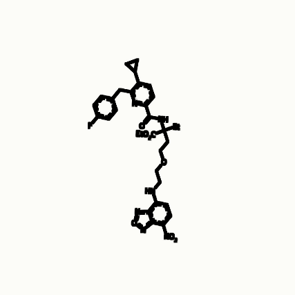 CCOC(=O)C(CC)(CCOCCNc1ccc([N+](=O)[O-])c2nonc12)NC(=O)c1ccc(C2CC2)c(Cc2ccc(F)cc2)n1